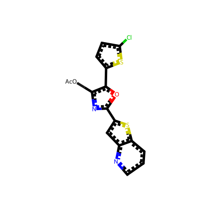 CC(=O)Oc1nc(-c2cc3ncccc3s2)oc1-c1ccc(Cl)s1